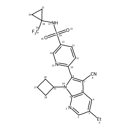 CCc1cnc2c(c1)c(C#N)c(-c1ccc(S(=O)(=O)NC3(C(F)(F)F)CC3)cn1)n2C1CCC1